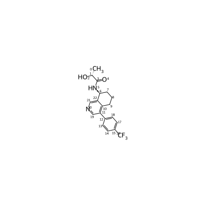 C[C@@H](O)C(=O)N[C@H]1CCCc2c(-c3ccc(C(F)(F)F)cc3)cncc21